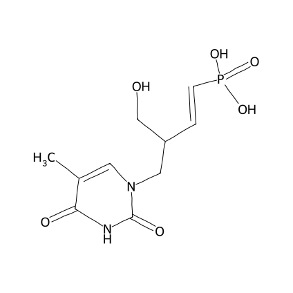 Cc1cn(CC(C=CP(=O)(O)O)CO)c(=O)[nH]c1=O